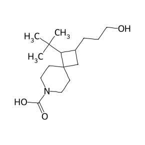 CC(C)(C)C1C(CCCO)CC12CCN(C(=O)O)CC2